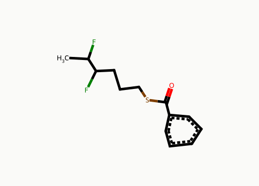 CC(F)C(F)CCCSC(=O)c1ccccc1